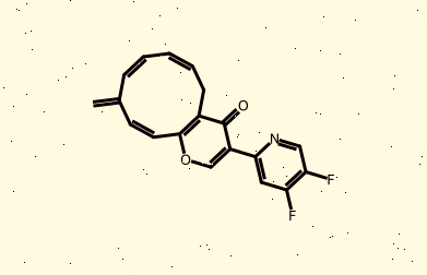 C=C1/C=C\C=C/Cc2c(occ(-c3cc(F)c(F)cn3)c2=O)/C=C\1